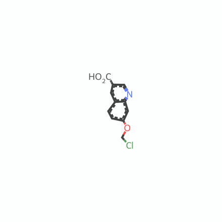 O=C(O)c1cnc2cc(OCCl)ccc2c1